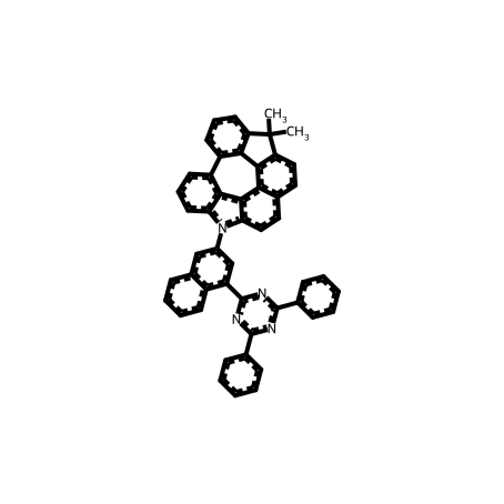 CC1(C)c2cccc3c2-c2c1ccc1ccc4c(c21)c1c-3cccc1n4-c1cc(-c2nc(-c3ccccc3)nc(-c3ccccc3)n2)c2ccccc2c1